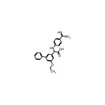 CCOc1cc(-c2ccccc2)cc(C(Nc2ccc(C(=N)N)cc2)C(=O)O)c1